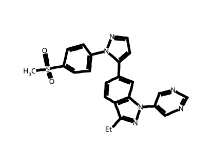 CCc1nn(-c2cncnc2)c2cc(-c3ccnn3-c3ccc(S(C)(=O)=O)cc3)ccc12